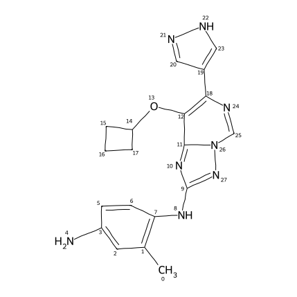 Cc1cc(N)ccc1Nc1nc2c(OC3CCC3)c(-c3cn[nH]c3)ncn2n1